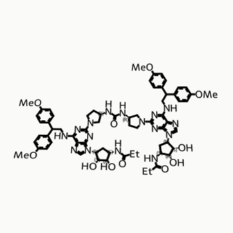 CCC(=O)N[C@H]1C[C@@H](n2cnc3c(NCC(c4ccc(OC)cc4)c4ccc(OC)cc4)nc(N4CC[C@@H](NC(=O)N[C@@H]5CCN(c6nc(NCC(c7ccc(OC)cc7)c7ccc(OC)cc7)c7ncn([C@@H]8C[C@H](NC(=O)CC)[C@@H](O)[C@H]8O)c7n6)C5)C4)nc32)[C@H](O)[C@@H]1O